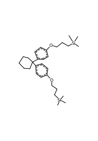 C[Si](C)(C)CCCOc1ccc(C2(c3ccc(OCCC[Si](C)(C)C)cc3)CCCCC2)cc1